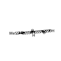 CSCSC/N=C/OOCSCSCSCOC(=O)NCSCSCSC/N=C/[S+]([O-])CSCSCO